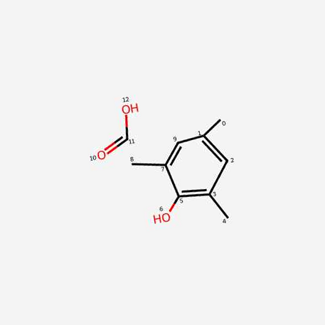 Cc1cc(C)c(O)c(C)c1.O=CO